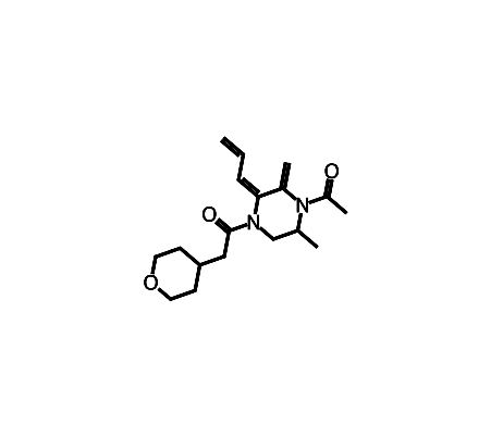 C=C/C=C1\C(=C)N(C(C)=O)C(C)CN1C(=O)CC1CCOCC1